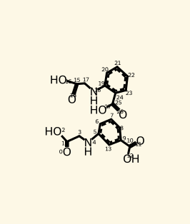 O=C(O)CNc1cccc(C(=O)O)c1.O=C(O)CNc1ccccc1C(=O)O